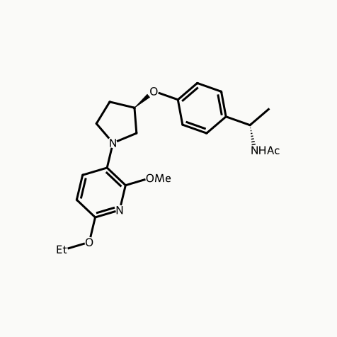 CCOc1ccc(N2CC[C@@H](Oc3ccc([C@H](C)NC(C)=O)cc3)C2)c(OC)n1